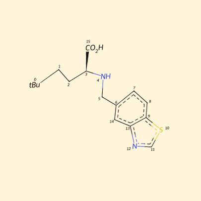 CC(C)(C)CC[C@H](NCc1ccc2scnc2c1)C(=O)O